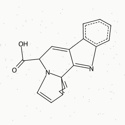 O=C(O)C1C=C2C(=Nc3ccccc32)C23C=CC=C2C=CN13